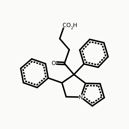 O=C(O)CCC(=O)C1(c2ccccc2)c2cccn2CC1c1ccccc1